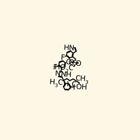 CC(C)(CO)CCCC(C)(c1cccc(I)c1)c1cnc(-c2cc(Oc3c(F)cc4[nH]ccc4c3CS(=O)(=O)CC(=O)O)ccc2F)[nH]1